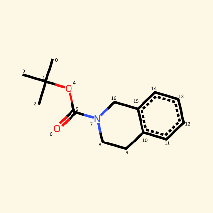 CC(C)(C)OC(=O)N1CCc2ccccc2C1